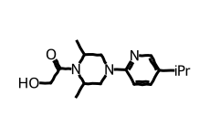 CC(C)c1ccc(N2CC(C)N(C(=O)CO)C(C)C2)nc1